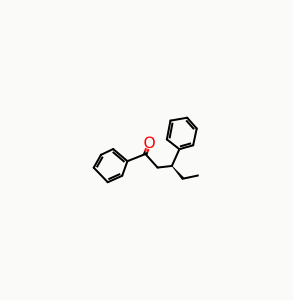 CC[C@@H](CC(=O)c1ccccc1)c1ccccc1